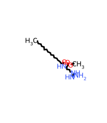 CCCCCCCCCCCCCCCCCC(=O)NC(CCCNC(=N)N)C(=O)OCC